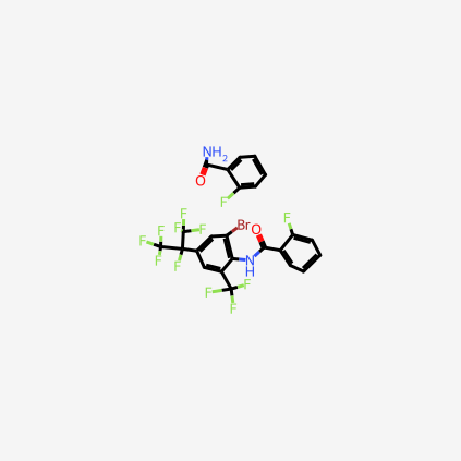 NC(=O)c1ccccc1F.O=C(Nc1c(Br)cc(C(F)(C(F)(F)F)C(F)(F)F)cc1C(F)(F)F)c1ccccc1F